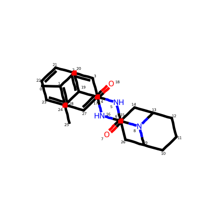 Cc1ccc(NC(=O)N2C3CCCC2CC(NC(=O)c2ccccc2C)C3)cc1